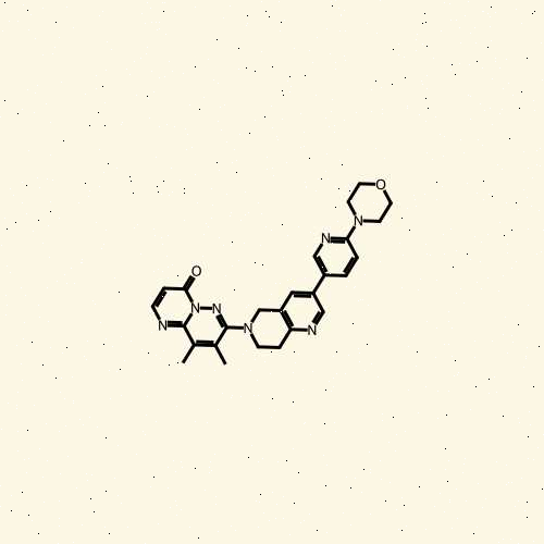 Cc1c(N2CCc3ncc(-c4ccc(N5CCOCC5)nc4)cc3C2)nn2c(=O)ccnc2c1C